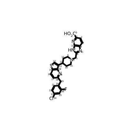 O=C(O)c1ccc2nc(CN3CCC(c4csc5ccc(Cc6ccc(Cl)cc6F)nc45)CC3)[nH]c2n1